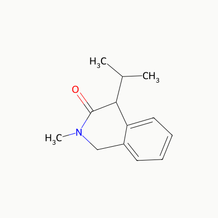 CC(C)C1C(=O)N(C)Cc2ccccc21